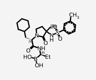 CC[C@H](NC(=O)[C@H](CC1CCCCC1)N1CCC(NS(=O)(=O)c2cccc(C)c2)(C(C)C)C1=O)B(O)O